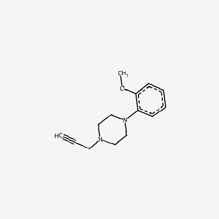 C#CCN1CCN(c2ccccc2OC)CC1